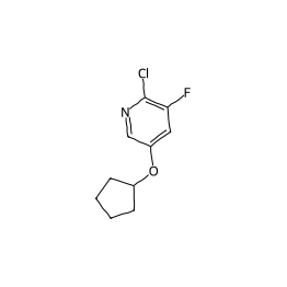 Fc1cc(OC2CCCC2)cnc1Cl